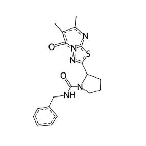 Cc1nc2sc(C3CCCN3C(=O)NCc3ccccc3)nn2c(=O)c1C